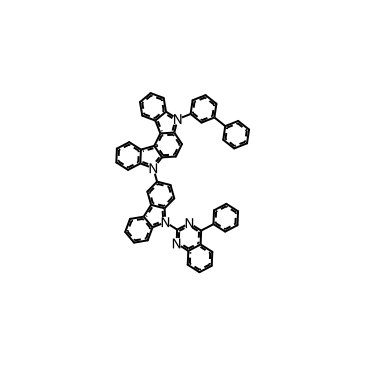 c1ccc(-c2cccc(-n3c4ccccc4c4c5c6ccccc6n(-c6ccc7c(c6)c6ccccc6n7-c6nc(-c7ccccc7)c7ccccc7n6)c5ccc43)c2)cc1